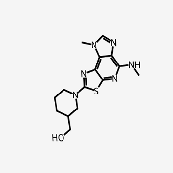 CNc1nc2sc(N3CCCC(CO)C3)nc2c2c1ncn2C